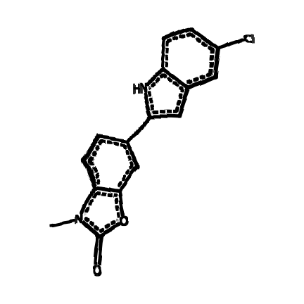 Cn1c(=O)oc2cc(-c3cc4cc(Cl)ccc4[nH]3)ccc21